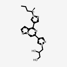 CCC[C@@H](C)n1cc(-c2nc(-c3cnn(CC(O)CO)c3)cn3nccc23)cn1